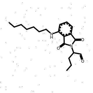 CCCCCCCNc1cccc2c1C(=O)N(C(C=O)CCC)C2=O